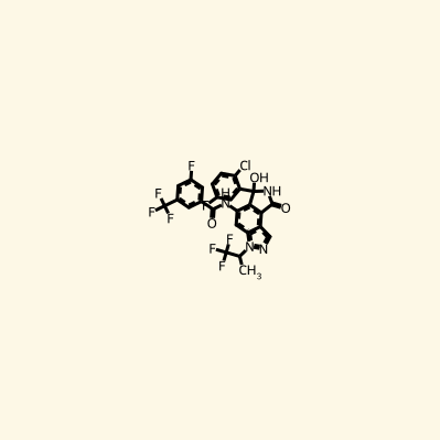 CC(n1ncc2c3c(c(NC(=O)c4cc(F)cc(C(F)(F)F)c4)cc21)C(O)(c1cc(F)ccc1Cl)NC3=O)C(F)(F)F